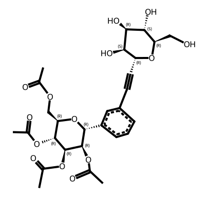 CC(=O)OC[C@H]1O[C@H](c2cccc(C#C[C@H]3O[C@H](CO)[C@@H](O)[C@H](O)[C@@H]3O)c2)[C@@H](OC(C)=O)[C@@H](OC(C)=O)[C@@H]1OC(C)=O